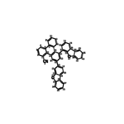 N#Cc1cccc(-c2ccccc2)c1-c1cc(-c2ccc3c(c2)oc2ccccc23)cc(-c2cccc3c2oc2ccccc23)c1